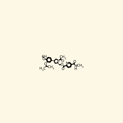 CNC(=O)c1ccc(C(=O)OC[C@H]2C[C@@H](c3ccc(OC)c(OC(C)C)c3)CN2C(C)=O)nc1